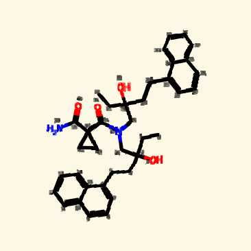 CCC(O)(CCc1cccc2ccccc12)CN(CC(O)(CC)CCc1cccc2ccccc12)C(=O)C1(C(N)=O)CC1